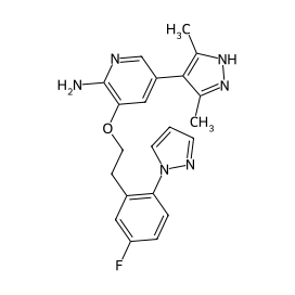 Cc1n[nH]c(C)c1-c1cnc(N)c(OCCc2cc(F)ccc2-n2cccn2)c1